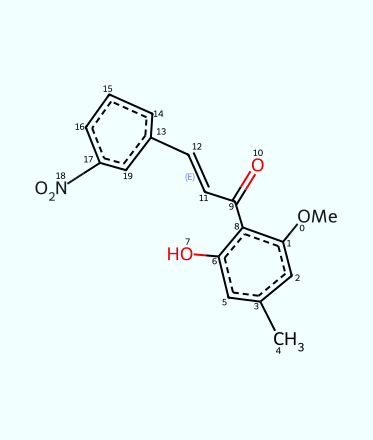 COc1cc(C)cc(O)c1C(=O)/C=C/c1cccc([N+](=O)[O-])c1